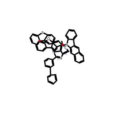 CC1C/C=C(c2cc3c(cc2-n2c4ccccc4c4cc5ccccc5cc42)oc2ccccc23)/N=C(c2cccc(-c3ccccc3)c2)\N=C/1c1ccc2sc3ccccc3c2c1